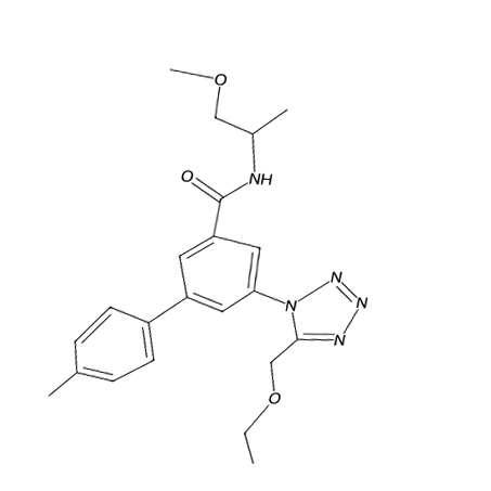 CCOCc1nnnn1-c1cc(C(=O)NC(C)COC)cc(-c2ccc(C)cc2)c1